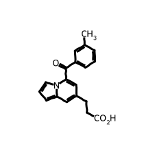 Cc1cccc(C(=O)c2cc(CCC(=O)O)cc3cccn23)c1